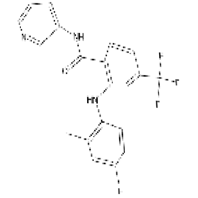 Cc1cc(F)ccc1Nc1cc(C(F)(F)F)ccc1C(=O)Nc1cccnc1